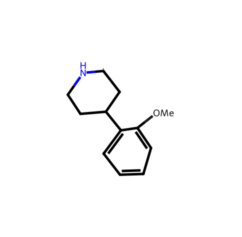 COc1ccccc1C1C[CH]NCC1